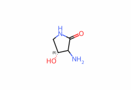 NC1C(=O)NC[C@H]1O